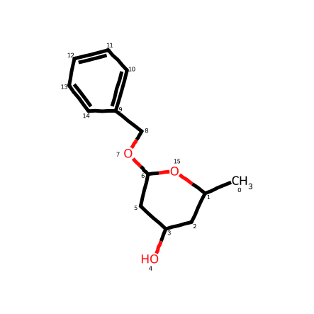 CC1CC(O)CC(OCc2ccccc2)O1